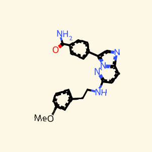 COc1cccc(CCNc2ccc3ncc(-c4ccc(C(N)=O)cc4)n3n2)c1